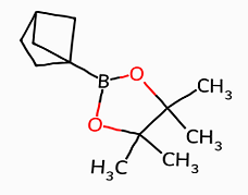 CC1(C)OB(C23CCC(C2)C3)OC1(C)C